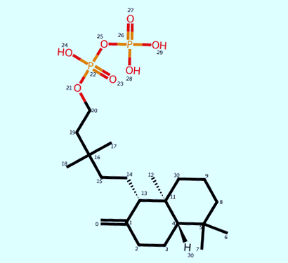 C=C1CC[C@H]2C(C)(C)CCC[C@]2(C)[C@H]1CCC(C)(C)CCOP(=O)(O)OP(=O)(O)O